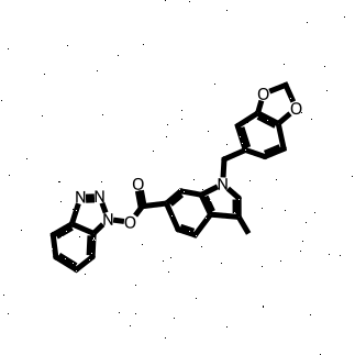 Cc1cn(Cc2ccc3c(c2)OCO3)c2cc(C(=O)On3nnc4ccccc43)ccc12